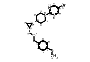 CSc1ccc(COC[C@@H]2C[C@@H]2C2CCN(c3ncc(Br)cn3)CC2)cc1